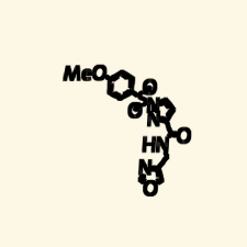 COc1ccc(S(=O)(=O)n2ccc(C(=O)NCc3cocn3)n2)cc1